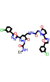 CCNC(=O)Cn1nc(-c2nnc(-c3cccc(Cl)c3)o2)cc(CCNC(=O)Cn2nc(-c3ncc(-c4cccc(Cl)c4)o3)ccc2=O)c1=O